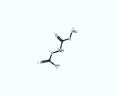 CC(C)(C)OC(=O)NSC(=S)S